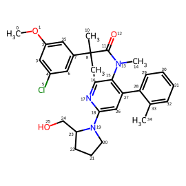 COc1cc(Cl)cc(C(C)(C)C(=O)N(C)c2cnc(N3CCCC3CO)cc2-c2ccccc2C)c1